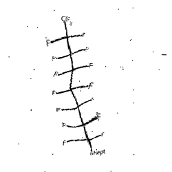 CCCCCCCC(F)(F)C(F)(F)C(F)(F)C(F)(F)C(F)(F)C(F)(F)C(F)(F)C(F)(F)F